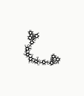 Cc1ccc(OCc2ccc(COc3c(C)cc(Oc4c(C)cc(-c5cc(C)c(Oc6cc(C)c(OCc7ccc(COc8ccc(O)c(P9(=O)Oc%10ccccc%10-c%10ccccc%109)c8)cc7)c(C)c6)c(C)c5C)c(C)c4C)cc3C)cc2)c(P2(=O)Oc3ccccc3-c3ccccc32)c1